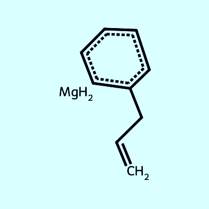 C=CCc1ccccc1.[MgH2]